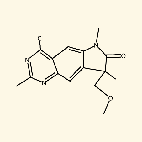 COCC1(C)C(=O)N(C)c2cc3c(Cl)nc(C)nc3cc21